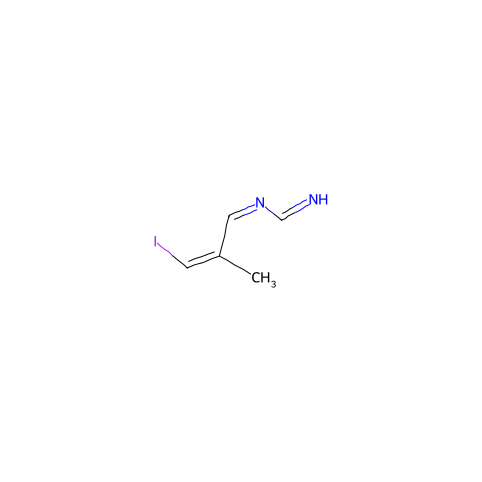 CC(/C=N\C=N)=C/I